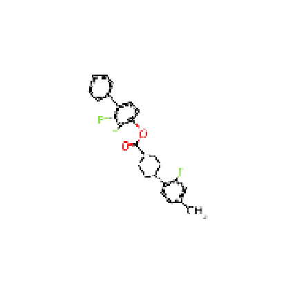 Cc1ccc(C2CCC(C(=O)Oc3ccc(-c4ccccc4)c(F)c3F)CC2)c(F)c1